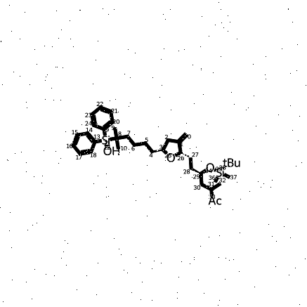 C=C1C[C@H](CCCCC(C)(C)[Si](O)(c2ccccc2)c2ccccc2)O[C@H]1CC[C@H](CC(C)C(C)=O)O[Si](C)(C)C(C)(C)C